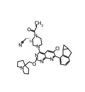 C=CC(=O)N1CCN(c2nc(OCC34CCCN3CCC4)nc3nc(-c4cccc5c4C4CC4C5)c(Cl)cc23)C[C@@H]1CC#N